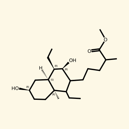 CCC1C(CCCC(C)C(=O)OC)[C@H](O)[C@H](CC)[C@@H]2C[C@H](O)CC[C@]12C